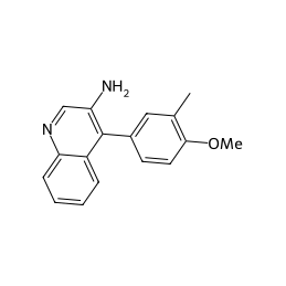 COc1ccc(-c2c(N)cnc3ccccc23)cc1C